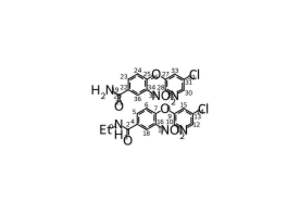 CCNC(=O)c1ccc(Oc2cncc(Cl)c2)c([N+](=O)[O-])c1.NC(=O)c1ccc(Oc2cncc(Cl)c2)c([N+](=O)[O-])c1